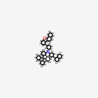 C1=CC2c3c(N(c4ccc(-c5cccc6ccccc56)cc4)c4cccc(-c5cccc6oc7c8ccccc8ccc7c56)c4)cccc3C(c3ccccc3)(c3ccccc3)C2C=C1